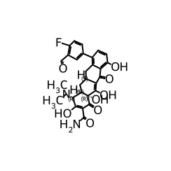 CN(C)[C@H]1C(O)=C(C(N)=O)C(=O)[C@]2(O)C(O)=C3C(=O)c4c(O)ccc(-c5ccc(F)c(C=O)c5)c4C[C@@H]3C[C@H]12